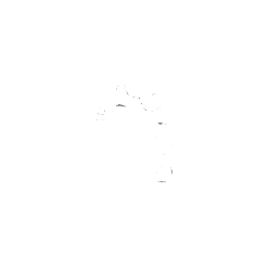 O=C(C=Cc1cccc(Br)c1)c1ccc(OCc2ccccc2)cc1